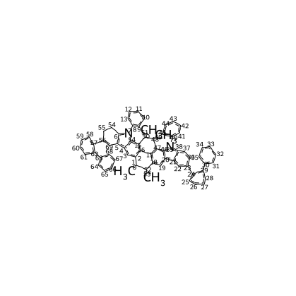 CC1c2cc3c4c(n(-c5ccccc5)c3c3c2-c2c(cc5c6cc(-c7ccccc7-c7ccccc7)ccc6n(-c6ccccc6)c5c2C(C)C3C)C1C)CCC(c1ccccc1-c1ccccc1)=C4